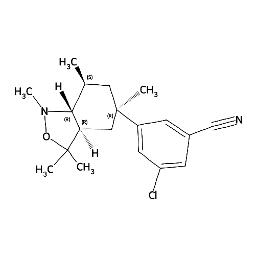 C[C@H]1C[C@@](C)(c2cc(Cl)cc(C#N)c2)C[C@@H]2[C@@H]1N(C)OC2(C)C